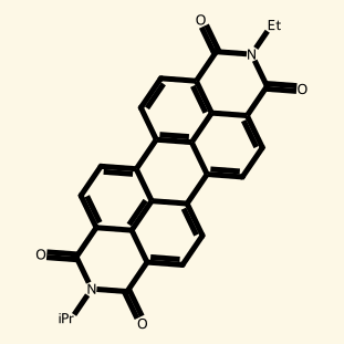 CCN1C(=O)c2ccc3c4ccc5c6c(ccc(c7ccc(c2c37)C1=O)c64)C(=O)N(C(C)C)C5=O